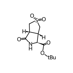 CC(C)(C)OC(=O)[C@H]1NC(=O)[C@@H]2CS(=O)(=O)C[C@H]12